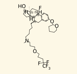 CN(CCCCC[C@@H]1Cc2cc(OC3CCCCO3)ccc2[C@@H]2[C@@H]1[C@@H]1CC[C@H](O)[C@@]1(C)C[C@@H]2F)CCCOCCCC(F)(F)C(F)(F)F